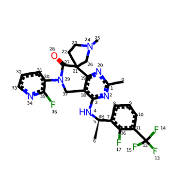 Cc1nc(N[C@H](C)c2cccc(C(F)(F)F)c2F)c2c(n1)C1(CCN(C)C1)C(=O)N(c1cccnc1F)C2